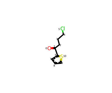 O=C(CCCCl)c1cccs1